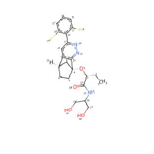 CC[C@@H](O[C@]12CC[C@H](C1)c1cc(-c3c(F)cccc3F)nnc12)C(=O)NC(CO)CO